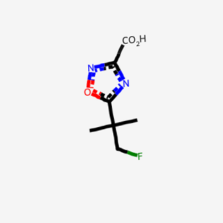 CC(C)(CF)c1nc(C(=O)O)no1